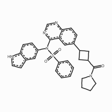 O=C(C1CC(c2ccc3ncnc(N(c4ccc5[nH]ccc5c4)S(=O)(=O)c4ccccc4)c3c2)C1)N1CCCC1